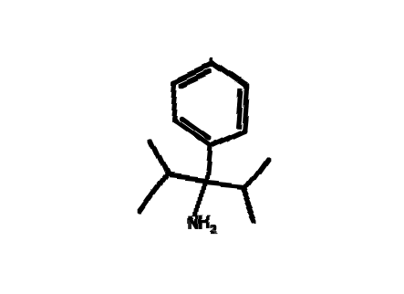 CC(C)C(N)(c1cc[c]cc1)C(C)C